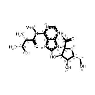 CSN(C(=O)[C@@H](N)[C@@H](C)O)c1ncnc2c1ncn2[C@]1(C(N)=O)O[C@H](CO)[C@@H](O)[C@H]1O